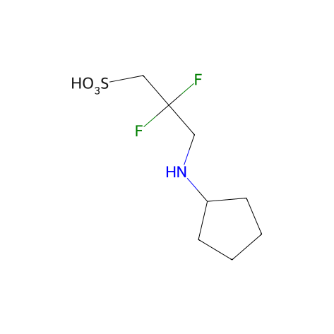 O=S(=O)(O)CC(F)(F)CNC1CCCC1